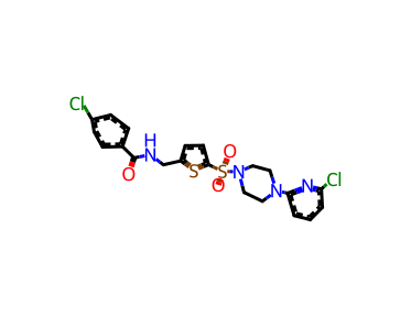 O=C(NCc1ccc(S(=O)(=O)N2CCN(c3cccc(Cl)n3)CC2)s1)c1ccc(Cl)cc1